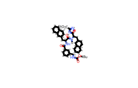 CCOC(=O)c1noc(C(Cc2ccc3ccccc3c2)N(C)C(=O)C(Cc2ccc3ccccc3c2)NC(=O)c2cccc(CNC(=O)OC(C)(C)C)c2)n1